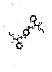 CCOC(=O)/C(=N/Nc1ccc(N/N=C(/C(=O)OCC)c2ccccn2)cc1)c1ccccn1